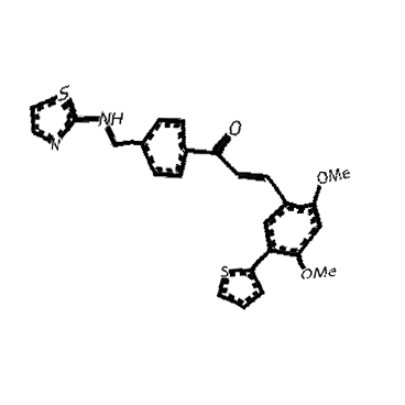 COc1cc(OC)c(-c2cccs2)cc1/C=C/C(=O)c1ccc(CNc2nccs2)cc1